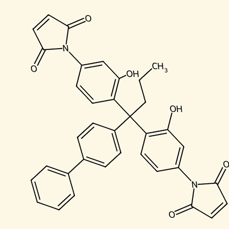 CCCC(c1ccc(-c2ccccc2)cc1)(c1ccc(N2C(=O)C=CC2=O)cc1O)c1ccc(N2C(=O)C=CC2=O)cc1O